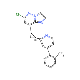 FC(F)(F)c1ccccc1-c1ccnc([C@H]2CC2c2cc(Cl)nn3ccnc23)c1